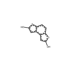 Oc1cc2c(ccc3sc(O)cc32)s1